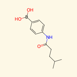 CC(C)CCC(=O)Nc1ccc(B(O)O)cc1